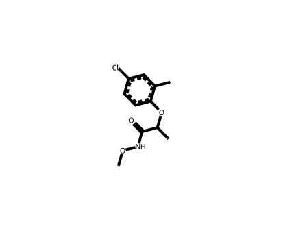 CONC(=O)C(C)Oc1ccc(Cl)cc1C